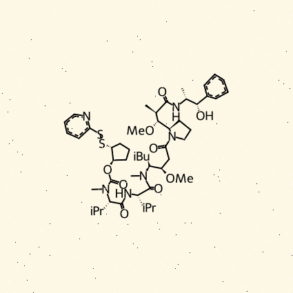 CC[C@H](C)[C@@H]([C@@H](CC(=O)N1CCC[C@@H]1[C@H](OC)[C@@H](C)C(=O)N[C@H](C)[C@@H](O)c1ccccc1)OC)N(C)C(=O)[C@@H](NC(=O)[C@H](C(C)C)N(C)C(=O)O[C@@H]1CCC[C@H]1SSc1ccccn1)C(C)C